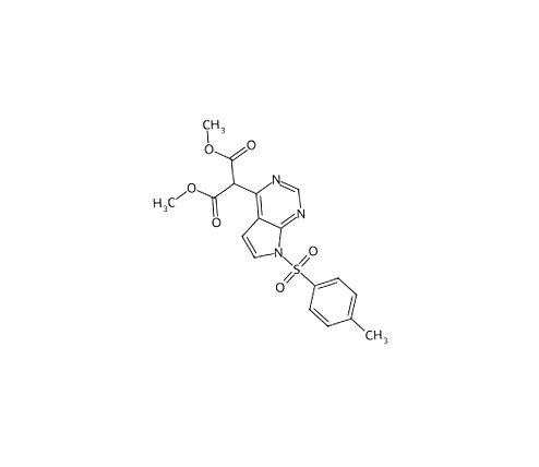 COC(=O)C(C(=O)OC)c1ncnc2c1ccn2S(=O)(=O)c1ccc(C)cc1